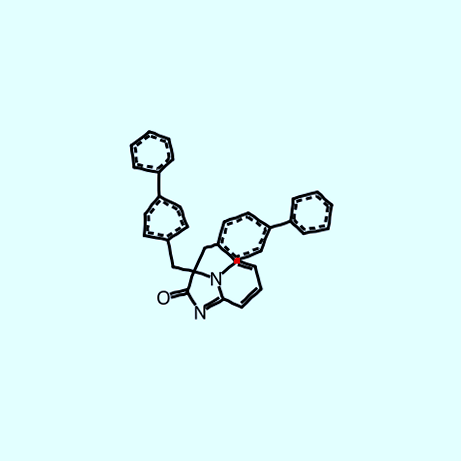 O=C1N=C2C=CC=CN2C1(Cc1ccc(-c2ccccc2)cc1)Cc1ccc(-c2ccccc2)cc1